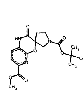 COC(=O)c1ccc2c(n1)OC1(CCN(C(=O)OC(C)(C)C)C1)C(=O)N2